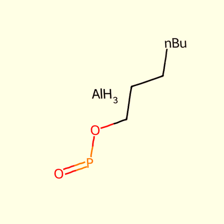 CCCCCCCOP=O.[AlH3]